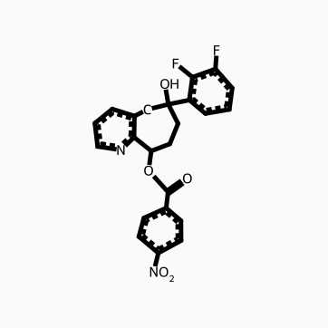 O=C(OC1CCC(O)(c2cccc(F)c2F)Cc2cccnc21)c1ccc([N+](=O)[O-])cc1